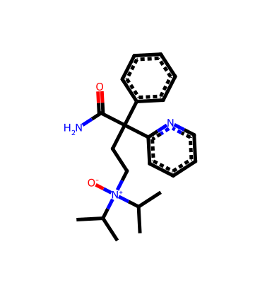 CC(C)[N+]([O-])(CCC(C(N)=O)(c1ccccc1)c1ccccn1)C(C)C